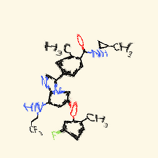 Cc1ccc(F)cc1Oc1cc(NCCC(F)(F)F)c2ncc(-c3ccc(C(=O)N[C@@H]4C[C@H]4C)c(C)c3)n2c1